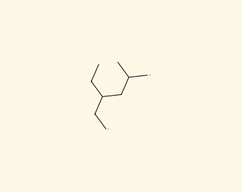 [CH2]CC(CC)CC([CH2])C